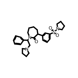 O=C1C(c2cccc(S(=O)(=O)N3CCCC3)c2)CCCCN1C(CN1CCCC1)c1ccccc1